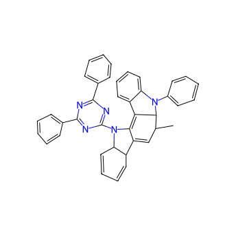 CC1C=C2C(=C3c4ccccc4N(c4ccccc4)C31)N(c1nc(-c3ccccc3)nc(-c3ccccc3)n1)C1C=CC=CC21